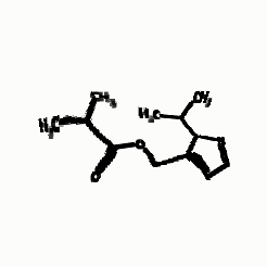 CC(C)C(=O)OCC1=CC=NC1C(C)C